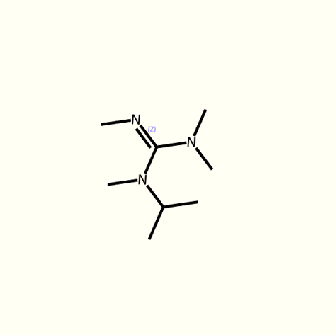 C/N=C(/N(C)C)N(C)C(C)C